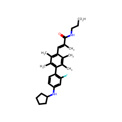 C/C(=C\c1c(C)c(C)c(-c2ccc(NC3CCCC3)cc2F)c(C)c1C)C(=O)NCCC(=O)O